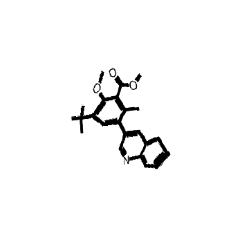 COC(=O)c1c(C)c(-c2cnc3ccccc3c2)cc(C(C)(C)C)c1OC